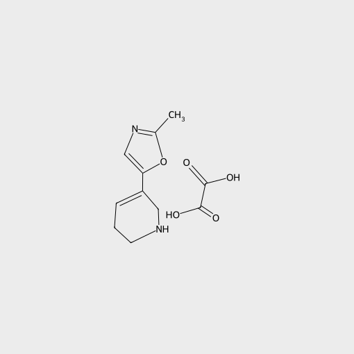 Cc1ncc(C2=CCCNC2)o1.O=C(O)C(=O)O